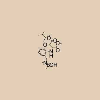 COC(=O)CC(Nc1c(CN(C)B(C)O)cccc1OCCC(C)C)C(=O)OC